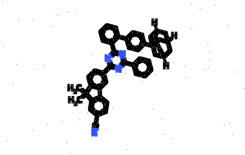 CC1(C)c2ccc(-c3nc(-c4ccccc4)nc(-c4ccccc4-c4ccc(C56C[C@H]7C[C@@H](C5)C[C@@H](C6)C7)cc4)n3)cc2-c2ccc(C#N)cc21